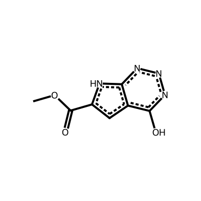 COC(=O)c1cc2c(O)nnnc2[nH]1